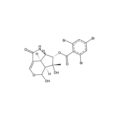 C[C@]1(O)[C@@H](OC(=O)c2c(Br)cc(Br)cc2Br)[C@H]2NC(=O)C3=COC(O)[C@H]1[C@@H]32